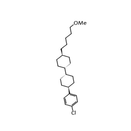 COCCCCC[C@H]1CC[C@H]([C@H]2CC[C@H](c3ccc(Cl)cc3)CC2)CC1